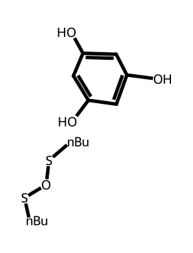 CCCCSOSCCCC.Oc1cc(O)cc(O)c1